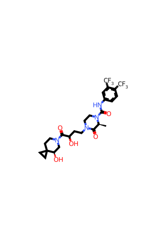 C[C@H]1C(=O)N(CCC(O)C(=O)N2CCC3(CC3)[C@H](O)C2)CCN1C(=O)Nc1ccc(C(F)(F)F)c(C(F)(F)F)c1